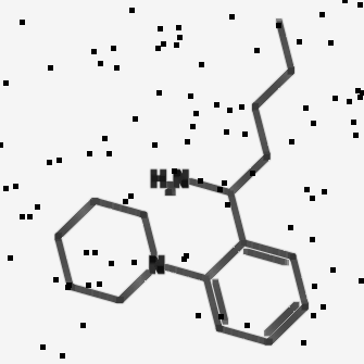 CCCCC(N)c1ccccc1N1CCCCC1